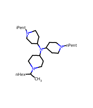 CCCCCCC(C)N1CCC(N(C2CCN(CCCCC)CC2)C2CCN(C(C)CCC)CC2)CC1